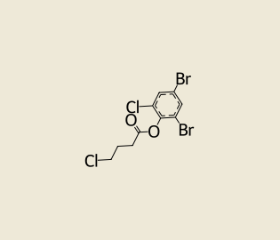 O=C(CCCCl)Oc1c(Cl)cc(Br)cc1Br